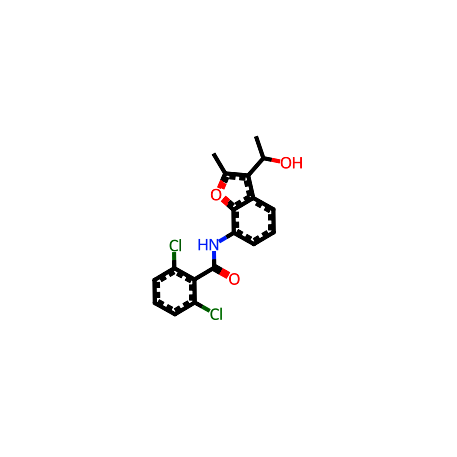 Cc1oc2c(NC(=O)c3c(Cl)cccc3Cl)cccc2c1C(C)O